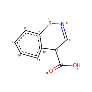 O=C(O)C1C=NSc2ccccc21